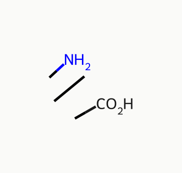 CC.CC(=O)O.CN